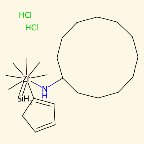 Cl.Cl.[CH3][Zr]([CH3])([CH3])([CH3])([CH3])([CH3])(=[SiH2])([NH]C1CCCCCCCCCCC1)[C]1=CC=CC1